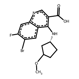 COC1CC[C@@H](Nc2c(C(=O)O)cnc3cc(F)c(Br)cc23)C1